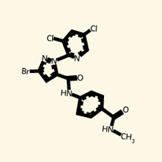 CNC(=O)c1ccc(NC(=O)c2cc(Br)nn2-c2ncc(Cl)cc2Cl)cc1